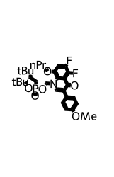 CCCOc1cc(F)c(F)c2c(=O)c(-c3ccc(OC)cc3)cn(COP(=O)(CCC(C)(C)C)OC(C)(C)C)c12